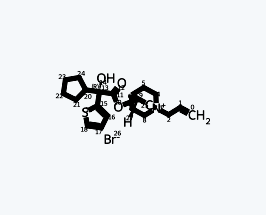 C=CC[N+]12CCC(CC1)[C@@H](OC(=O)[C@@](O)(c1cccs1)C1CCCC1)C2.[Br-]